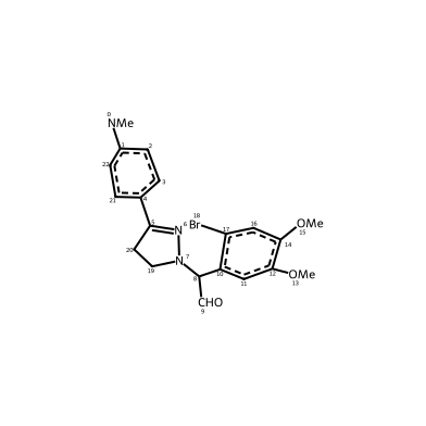 CNc1ccc(C2=NN(C(C=O)c3cc(OC)c(OC)cc3Br)CC2)cc1